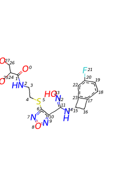 O=C(NCCSc1nonc1C(=NO)N[C@H]1Cc2ccc(F)cc21)C(O)CO